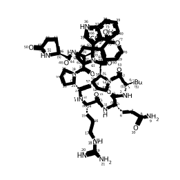 CC[C@H](C)[C@H](NC(=O)[C@H](CCC(N)=O)NC(=O)[C@H](CCCNC(=N)N)NC(=O)[C@@H]1CCCN1C(=O)[C@H](Cc1c[nH]c2ccccc12)NC(=O)[C@@H]1CCC(=O)N1)C(=O)N1CCC[C@H]1C(=O)N1CCC[C@]1(C(=O)O)C1=CC=COC1O